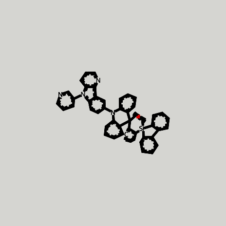 c1cncc(-n2c3ccc(N4c5ccccc5C5(c6ccccc64)c4ccccc4[Si]4(c6ccccc6-c6ccccc64)c4ccccc45)cc3c3ncccc32)c1